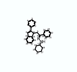 C1=C(c2ccccc2)C(CC(=NNC2CCCCC2)c2ccccc2)c2ccccc21